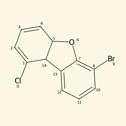 ClC1=CC=CC2Oc3c(Br)cccc3C12